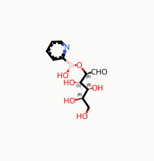 O=C[C@H](OB(O)c1ccccn1)[C@@H](O)[C@H](O)[C@H](O)CO